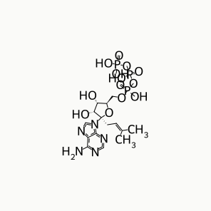 CC(C)=CC[C@@]1(n2cnc3c(N)ncnc32)O[C@H](COP(=O)(O)OP(=O)(O)OP(=O)(O)O)[C@@H](O)[C@H]1O